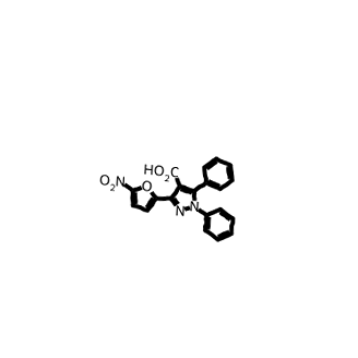 O=C(O)c1c(-c2ccc([N+](=O)[O-])o2)nn(-c2ccccc2)c1-c1ccccc1